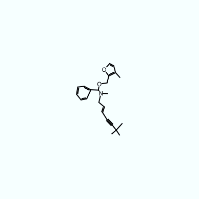 Cc1ccoc1COC(c1ccccc1)N(C)C/C=C/C#CC(C)(C)C